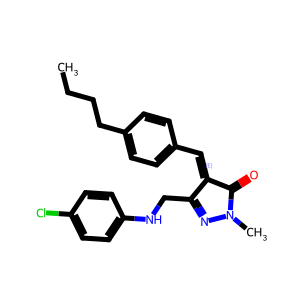 CCCCc1ccc(/C=C2/C(=O)N(C)N=C2CNc2ccc(Cl)cc2)cc1